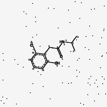 CC(C)NC(=O)Cc1c(O)cccc1Cl